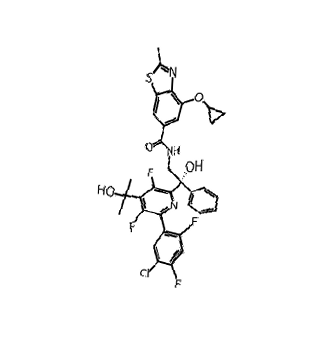 Cc1nc2c(OC3CC3)cc(C(=O)NC[C@@](O)(c3ccccc3)c3nc(-c4cc(Cl)c(F)cc4F)c(F)c(C(C)(C)O)c3F)cc2s1